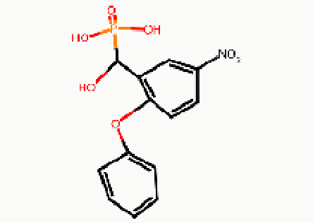 O=[N+]([O-])c1ccc(Oc2ccccc2)c(C(O)P(=O)(O)O)c1